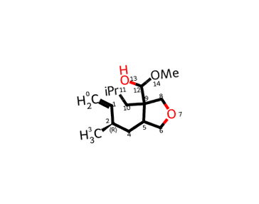 C=C[C@H](C)CC1COCC1(CC(C)C)C(O)OC